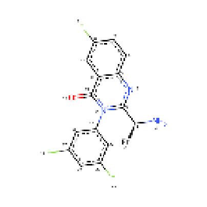 CC[C@H](N)c1nc2ccc(F)cc2c(=O)n1-c1cc(F)cc(F)c1